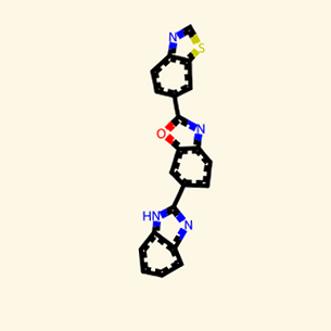 c1ccc2[nH]c(-c3ccc4nc(-c5ccc6ncsc6c5)oc4c3)nc2c1